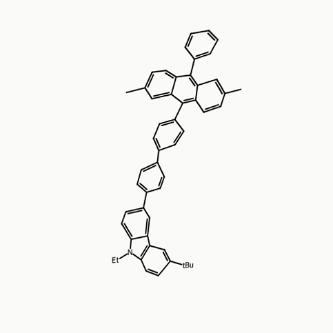 CCn1c2ccc(-c3ccc(-c4ccc(-c5c6ccc(C)cc6c(-c6ccccc6)c6ccc(C)cc56)cc4)cc3)cc2c2cc(C(C)(C)C)ccc21